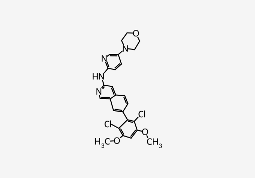 COc1cc(OC)c(Cl)c(-c2ccc3cc(Nc4ccc(N5CCOCC5)cn4)ncc3c2)c1Cl